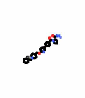 NC(=O)[C@@H]1CCCN1C(=O)c1ccc(-c2ccc(OCC3CCN(CC4(C(F)(F)F)CCCCC4)CC3)nc2)cc1